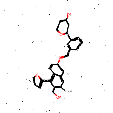 O=C(O)c1cc2cc(OCc3cccc(C4CC(O)CCO4)c3)ccc2c(-c2ccco2)c1CO